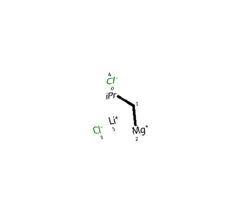 CC(C)[CH2][Mg+].[Cl-].[Cl-].[Li+]